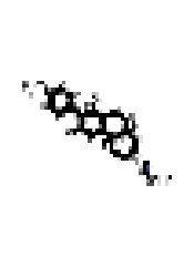 CCC/C=C/[C@@H]1CC[C@@H]2c3cc(F)c(-c4ccc(C(F)(F)F)cc4)c(F)c3CC[C@@H]2C1